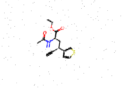 C#C[C@@H](C[C@@H](NC(C)=O)C(=O)OCC)c1ccsc1